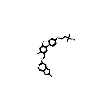 C=C(/C=C1/CC(C)C/C1=C/C)OCc1cc(-c2ccc(OCCC(C)(C)O)cc2)c(C(F)(F)F)cc1F